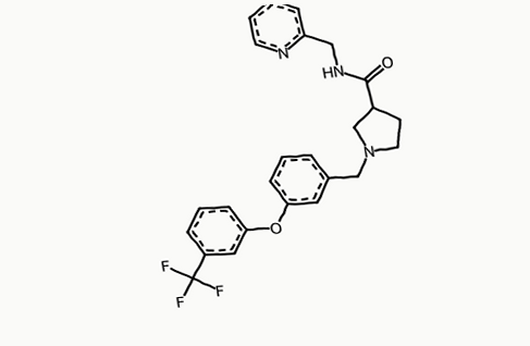 O=C(NCc1ccccn1)C1CCN(Cc2cccc(Oc3cccc(C(F)(F)F)c3)c2)C1